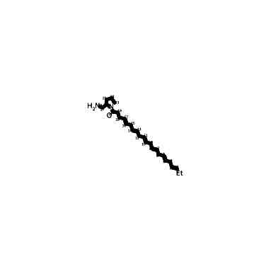 CCC=CCC=CCC=CCC=CCC=CCC=CCCC(=O)N1CCCC1CN